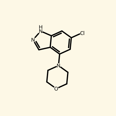 Clc1cc(N2CCOCC2)c2cn[nH]c2c1